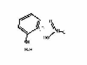 O.O=[PH](O)O.Sc1ccccc1.[NaH]